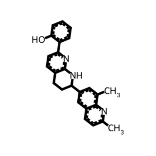 Cc1ccc2cc(C3CCc4ccc(-c5ccccc5O)nc4N3)cc(C)c2n1